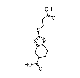 O=C(O)CCSc1nc2c(s1)CC(C(=O)O)CC2